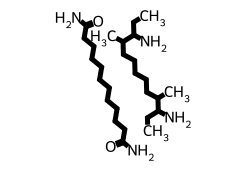 CCC(N)C(C)CCCCCC(C)C(N)CC.NC(=O)CCCCCCCCCCC(N)=O